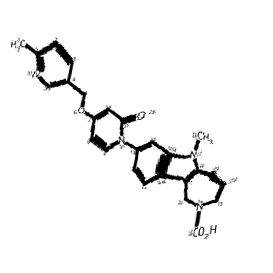 Cc1ccc(COc2ccn(-c3ccc4c5c(n(C)c4c3)CCCN(C(=O)O)C5)c(=O)c2)cn1